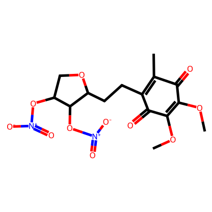 COC1=C(OC)C(=O)C(CCC2OCC(O[N+](=O)[O-])C2O[N+](=O)[O-])=C(C)C1=O